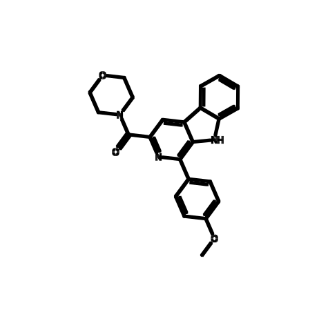 COc1ccc(-c2nc(C(=O)N3CCOCC3)cc3c2[nH]c2ccccc23)cc1